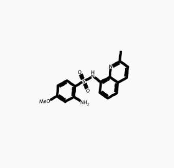 COc1ccc(S(=O)(=O)Nc2cccc3ccc(C)nc23)c(N)c1